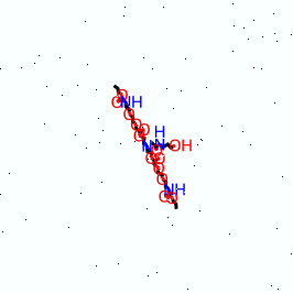 CCCOC(=O)NCCOCCOCC(=O)OCCN(CCOC(=O)COCCOCCNC(=O)OCCC)CC(=O)NCCCO